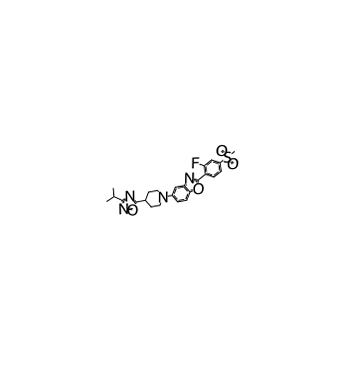 CC(C)c1noc(C2CCN(c3ccc4oc(-c5ccc(S(C)(=O)=O)cc5F)nc4c3)CC2)n1